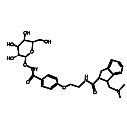 CN(C)CC1c2ccccc2CC1C(=O)NCCOc1ccc(C(=O)NO[C@@H]2O[C@H](CO)[C@H](O)[C@H](O)[C@H]2O)cc1